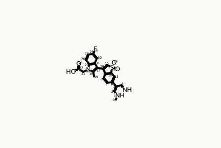 CN/C=C(\C=N)c1ccc2c(c1)S(=O)(=O)C=C2c1c(C)n(CC(=O)O)c2ccc(F)cc12